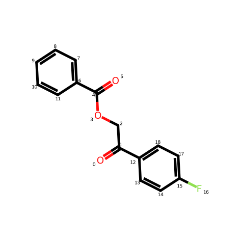 O=C(COC(=O)c1ccccc1)c1ccc(F)cc1